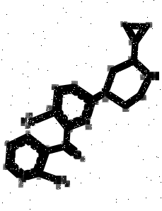 Nc1ncccc1C(=O)c1nc(N2CCNC(C3CC3)C2)ccc1C(F)(F)F